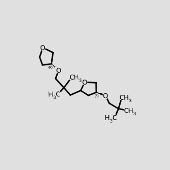 CC(C)(C)CO[C@@H]1COC(CC(C)(C)CO[C@@H]2CCOC2)C1